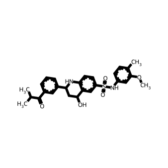 COc1cc(NS(=O)(=O)c2ccc3c(c2)C(O)CC(c2cccc(C(=O)C(C)C)c2)N3)ccc1C